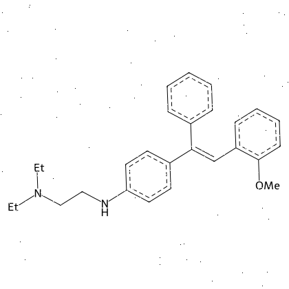 CCN(CC)CCNc1ccc(C(=Cc2ccccc2OC)c2ccccc2)cc1